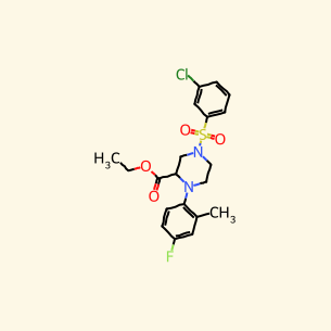 CCOC(=O)C1CN(S(=O)(=O)c2cccc(Cl)c2)CCN1c1ccc(F)cc1C